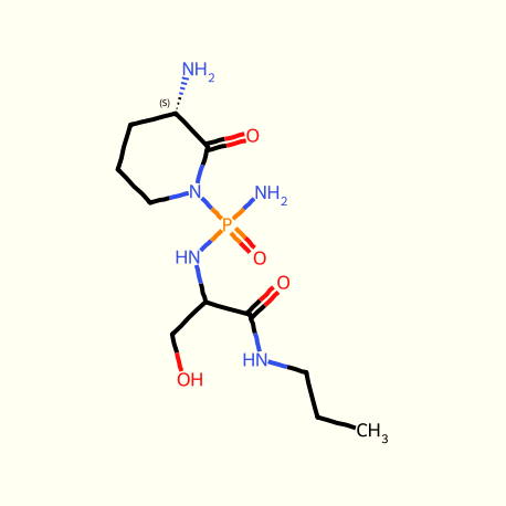 CCCNC(=O)C(CO)NP(N)(=O)N1CCC[C@H](N)C1=O